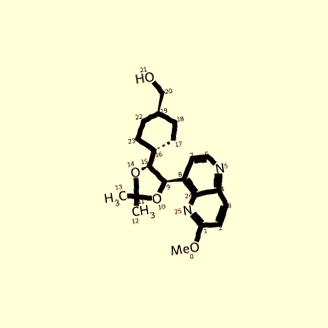 COc1ccc2nccc([C@H]3OC(C)(C)O[C@@H]3[C@H]3CC[C@H](CO)CC3)c2n1